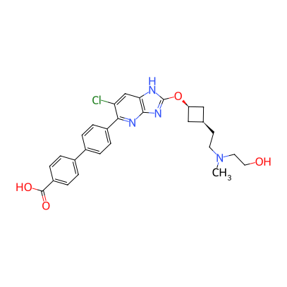 CN(CCO)CC[C@H]1C[C@@H](Oc2nc3nc(-c4ccc(-c5ccc(C(=O)O)cc5)cc4)c(Cl)cc3[nH]2)C1